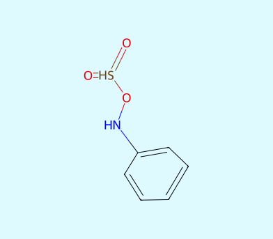 O=[SH](=O)ONc1ccccc1